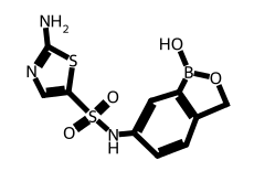 Nc1ncc(S(=O)(=O)Nc2ccc3c(c2)B(O)OC3)s1